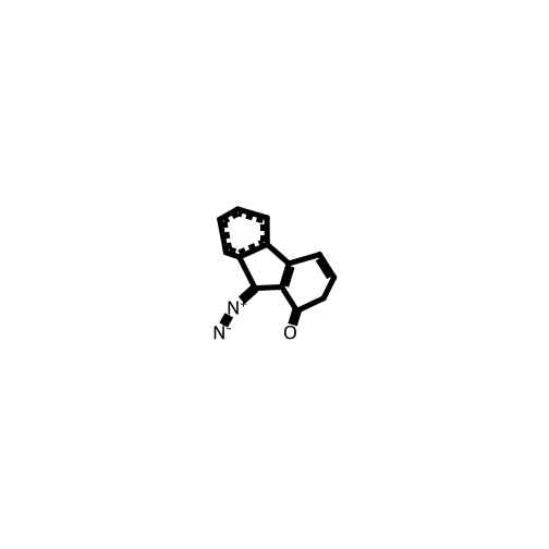 [N-]=[N+]=C1C2=C(C=CCC2=O)c2ccccc21